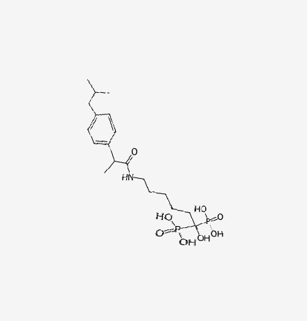 CC(C)Cc1ccc(C(C)C(=O)NCCCCCC(O)(P(=O)(O)O)P(=O)(O)O)cc1